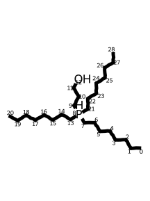 CCCCCCCC[PH](CCCO)(CCCCCCCC)CCCCCCCC